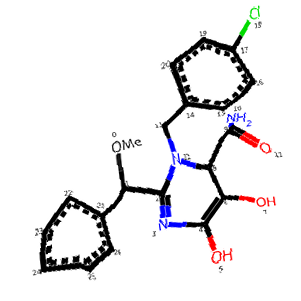 COC(C1=NC(O)=C(O)C(C(N)=O)N1Cc1ccc(Cl)cc1)c1ccccc1